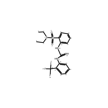 CCN(CC)S(=O)(=O)c1ccccc1NC(=N)Nc1ccccc1C(F)(F)F